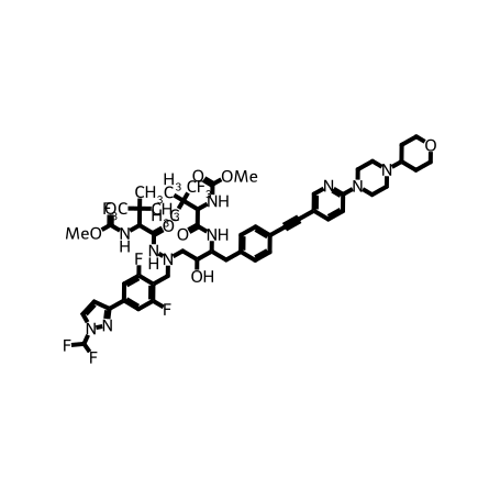 COC(=O)NC(C(=O)NC(Cc1ccc(C#Cc2ccc(N3CCN(C4CCOCC4)CC3)nc2)cc1)C(O)CN(Cc1c(F)cc(-c2ccn(C(F)F)n2)cc1F)NC(=O)C(NC(=O)OC)C(C)(C)C(F)(F)F)C(C)(C)C(F)(F)F